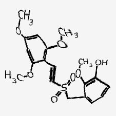 COc1cc(OC)c(/C=C/S(=O)(=O)Cc2cccc(O)c2OC)c(OC)c1